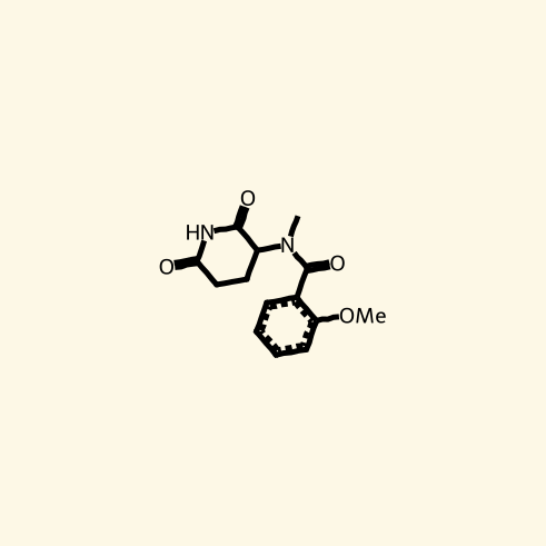 COc1ccccc1C(=O)N(C)C1CCC(=O)NC1=O